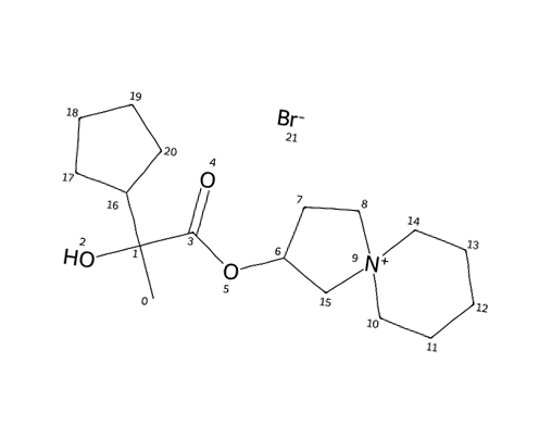 CC(O)(C(=O)OC1CC[N+]2(CCCCC2)C1)C1CCCC1.[Br-]